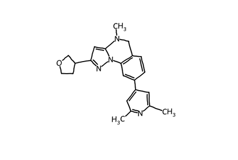 Cc1cc(-c2ccc3c(c2)-n2nc(C4CCOC4)cc2N(C)C3)cc(C)n1